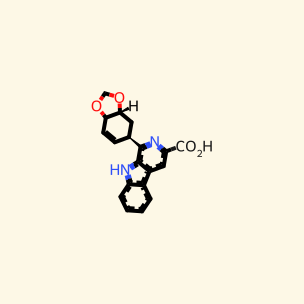 O=C(O)c1cc2c([nH]c3ccccc32)c([C@H]2C=CC3OCO[C@@H]3C2)n1